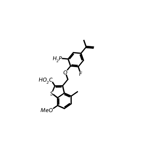 C=C(C)c1cc(F)c(OCc2c(C(=O)O)sc3c(OC)ccc(C)c23)c(P)c1